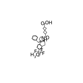 CC(F)(c1ccc2c(c1)CC[C@H]1N(C(=O)C3CC4(CC(C(=O)O)C4)C3)CC[C@@]21Cc1ccccc1)C(F)(F)F